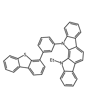 CCn1c2ccccc2c2ccc3c4ccccc4n(-c4cccc(-c5cccc6c5sc5ccccc56)c4)c3c21